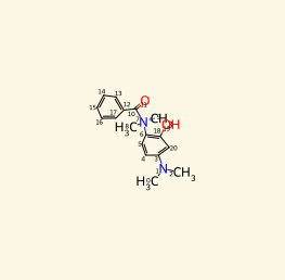 CN(C)c1ccc([N+](C)(C)C(=O)c2ccccc2)c(O)c1